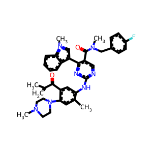 C=C(C)C(=O)c1cc(Nc2ncc(C(=O)N(C)Cc3ccc(F)cc3)c(-c3cn(C)c4ccccc34)n2)c(C)cc1N1CCN(C)CC1